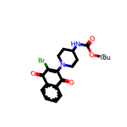 CC(C)(C)OC(=O)NC1CCN(C2=C(Br)C(=O)c3ccccc3C2=O)CC1